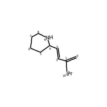 C=C(/C=C/C1CCCCN1)C(C)C